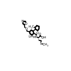 CSCC[C@H](NC(=O)c1ccc(COCc2cnco2)cc1-c1ccccc1C)C(=O)O.[LiH]